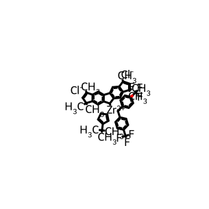 CC1=CC(C)(C)c2cc3c(cc21)-c1cc2c(cc1[CH]3[Zr+2]([C]1=CC(C(C)(C)C)=CC1)=[C](c1ccc(C(F)(F)F)cc1)c1ccc(C(F)(F)F)cc1)C(C)(C)C=C2C.[Cl-].[Cl-]